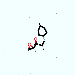 C[C@@H](C[C@H]1CC[C@H](C)CC1)C(=O)[C@@]1(C)CO1